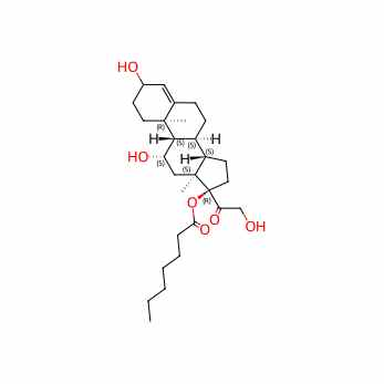 CCCCCCC(=O)O[C@]1(C(=O)CO)CC[C@H]2[C@@H]3CCC4=CC(O)CC[C@]4(C)[C@H]3[C@@H](O)C[C@@]21C